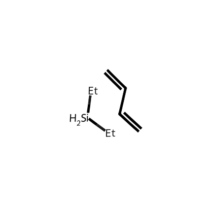 C=CC=C.CC[SiH2]CC